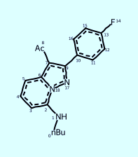 CCCCNc1cccc2c(C(C)=O)c(-c3ccc(F)cc3)nn12